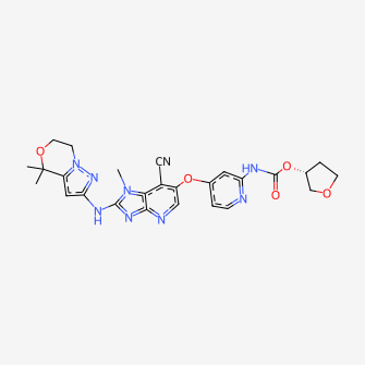 Cn1c(Nc2cc3n(n2)CCOC3(C)C)nc2ncc(Oc3ccnc(NC(=O)O[C@@H]4CCOC4)c3)c(C#N)c21